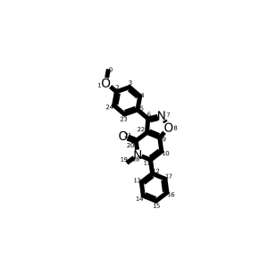 COc1ccc(-c2noc3cc(-c4ccccc4)n(C)c(=O)c23)cc1